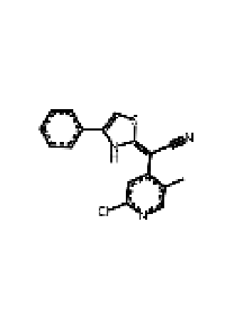 Cc1cnc(Cl)cc1C(C#N)=C1NC(c2ccccc2)=CS1